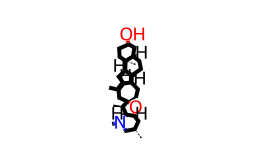 CC1=C2C[C@H]3[C@@H](CC[C@@H]4CC(O)CC[C@@]43C)[C@@H]2CC[C@@]2(C1)O[C@@H]1C[C@H](C)CN(C)[C@H]1[C@H]2C